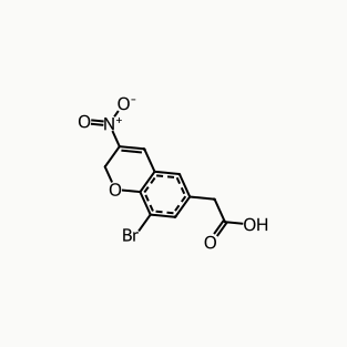 O=C(O)Cc1cc(Br)c2c(c1)C=C([N+](=O)[O-])CO2